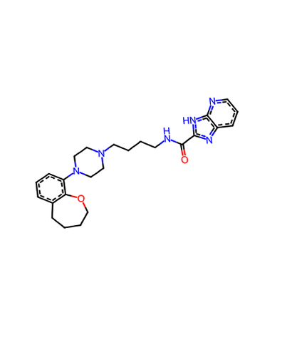 O=C(NCCCCN1CCN(c2cccc3c2OCCCC3)CC1)c1nc2cccnc2[nH]1